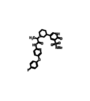 CNS(=O)(=O)c1cc(C2CCCN(C(C)C(=O)Nc3ccc(Oc4ccc(F)cc4)cn3)C2)c[nH]c1=O